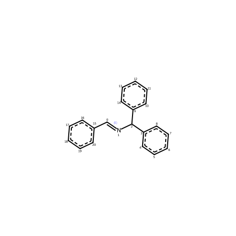 C(=N\C(c1ccccc1)c1ccccc1)/c1ccccc1